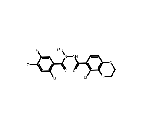 CCc1c(C(=O)NN(C(=O)c2cc(F)c(Cl)cc2Cl)C(C)(C)C)ccc2c1OCCO2